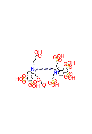 COCCOCCC1(C)\C(=C/C=C/C=C/C=C/C2=[N+](CCCS(=O)(=O)O)c3ccc4c(S(=O)(=O)O)cc(S(=O)(=O)O)cc4c3C2(C)CCCS(=O)(=O)O)N(CCCCCC(=O)O)c2ccc3c(S(=O)(=O)O)cc(S(=O)(=O)O)cc3c21